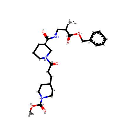 CC(=O)NC(CNC(=O)[C@@H]1CCCN(C(=O)CCC2CCN(C(=O)OC(C)(C)C)CC2)C1)C(=O)OCc1ccccc1